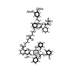 CCC(C)(C)C(=O)C(=O)N1CCCC[C@H]1C(=O)O[C@H](CCc1ccc(OC)c(OC)c1)c1cccc(OCCNC(=O)CCCOC(=O)N2CCCN([C@H](C(=O)C[C@@H](Cc3ccccc3)C[C@H](O)[C@H](Cc3ccccc3)NC(=O)COc3c(C)cccc3C)C(C)C)C2=O)c1